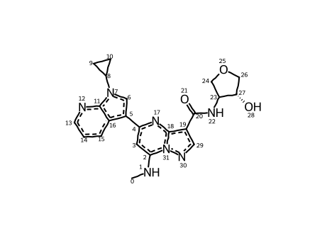 CNc1cc(-c2cn(C3CC3)c3ncccc23)nc2c(C(=O)NC3COC[C@@H]3O)cnn12